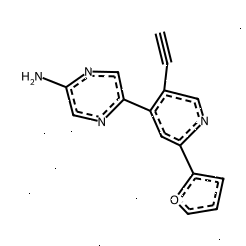 C#Cc1cnc(-c2ccco2)cc1-c1cnc(N)cn1